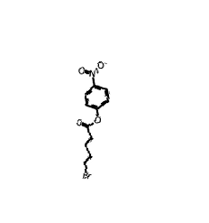 O=C(CCCCBr)Oc1ccc([N+](=O)[O-])cc1